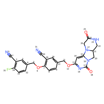 N#Cc1cc(COc2ccc(COc3cc4n(c(=O)n3)CC3CNC(=O)CN43)cc2C#N)ccc1F